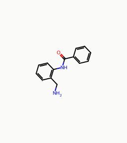 NCc1[c]cccc1NC(=O)c1ccccc1